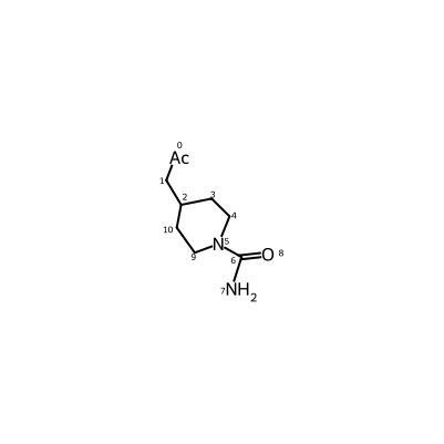 CC(=O)CC1CCN(C(N)=O)CC1